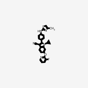 Cc1csc(Nc2ccc(-c3c(C#N)c4ccc(Oc5ncccc5F)cc4n3C3CC3)cc2)n1